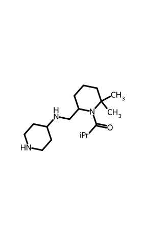 CC(C)C(=O)N1C(CNC2CCNCC2)CCCC1(C)C